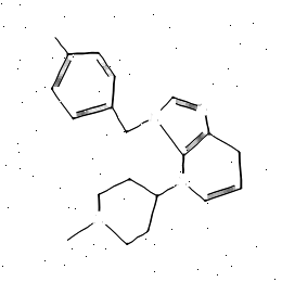 CN1CCC(N2C=CCc3ncn(Cc4ccc(F)cc4)c32)CC1